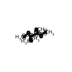 CC1CCCC(C)N1CC(COc1ccccc1OCCS(C)(=O)=O)OC(=O)/C=C/C(=O)OC(COc1ccccc1OCCS(C)(=O)=O)CN1C(C)CCCC1C